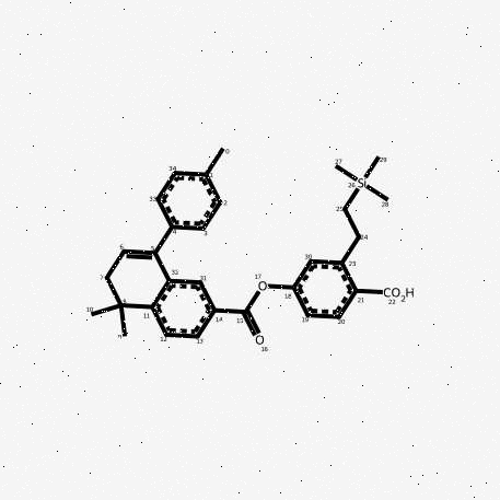 Cc1ccc(C2=CCC(C)(C)c3ccc(C(=O)Oc4ccc(C(=O)O)c(CC[Si](C)(C)C)c4)cc32)cc1